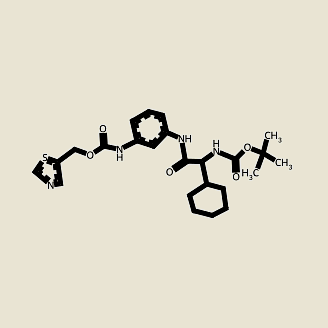 CC(C)(C)OC(=O)NC(C(=O)Nc1cccc(NC(=O)OCc2cncs2)c1)C1CCCCC1